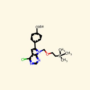 COc1ccc(-c2cc3c(Cl)ncnc3n2COCC[Si](C)(C)C)cc1